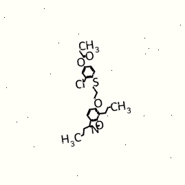 CCCc1noc2c(CCC)c(OCCCSc3ccc(OC(=O)CC)cc3Cl)ccc12